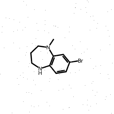 CN1CCCNc2ccc(Br)cc21